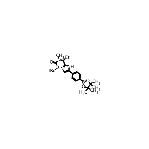 CCC(c1ncc(-c2ccc(B3OC(C)(C)C(C)(C)O3)cc2)[nH]1)N(C)C(=O)OC(C)(C)C